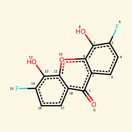 O=c1c2ccc(F)c(O)c2oc2c(O)c(F)ccc12